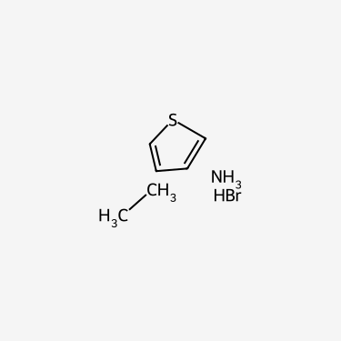 Br.CC.N.c1ccsc1